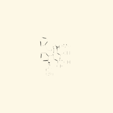 COC(=O)C1=C(C)N(C)C(C)=C(C(=O)OCC(C)(C)C)C1(c1ccccc1F)N(C)Cc1ccccc1